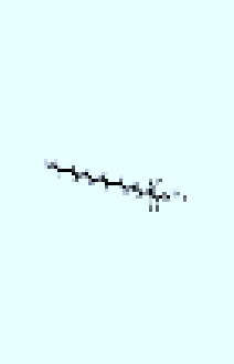 CCCCCCCCCCCCSC(=O)NN